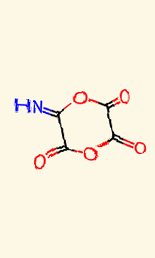 N=C1OC(=O)C(=O)OC1=O